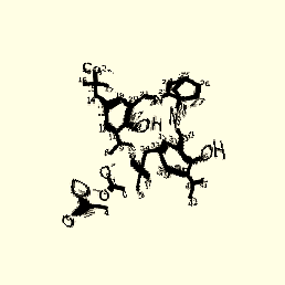 CC(=O)[O-].CC(=O)[O-].CC(C)c1cc(CC(C)(C)C)cc(C=NC2CC3CCC2(N=Cc2cc(CC(C)(C)C)cc(C(C)C)c2O)C3)c1O.[Co+2]